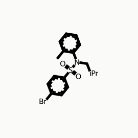 Cc1ccccc1N(CC(C)C)S(=O)(=O)c1ccc(Br)cc1